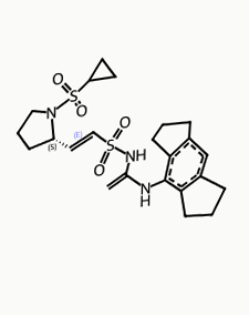 C=C(Nc1c2c(cc3c1CCC3)CCC2)NS(=O)(=O)/C=C/[C@@H]1CCCN1S(=O)(=O)C1CC1